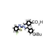 CC(C)COc1ccc(CCN(Cc2ccc(C(=O)O)cc2)c2nc3cccc(F)c3s2)cc1